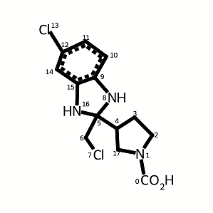 O=C(O)N1CCC(C2(CCl)Nc3ccc(Cl)cc3N2)C1